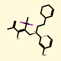 C=C(C)/C(=C(/C[C@@H](CCC1C=CCCC1)[C@H]1C=C(CCCC)C=CC1)C(C)(I)I)C(C)C